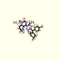 CC1CN(c2nc(=O)n(C)c3ccc(C#N)nc23)[C@@H](C)CN1C(c1ccc(F)cc1)c1ccc(F)cc1